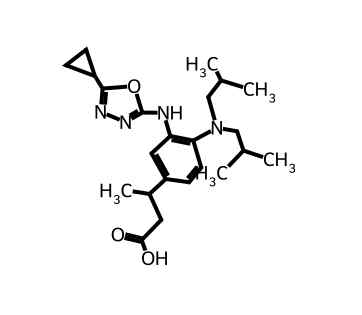 CC(C)CN(CC(C)C)c1ccc(C(C)CC(=O)O)cc1Nc1nnc(C2CC2)o1